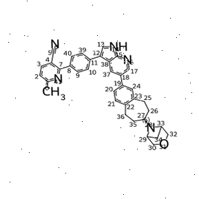 Cc1ccc(C#N)c(-c2ccc(-c3c[nH]c4ncc(-c5ccc6c(c5)CC[C@@H](N5C7COCC5C7)CC6)cc34)cc2)n1